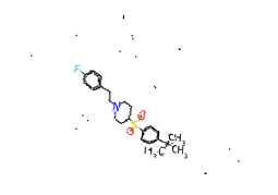 CC(C)(C)c1ccc(S(=O)(=O)C2CCN(CCc3ccc(F)cc3)CC2)cc1